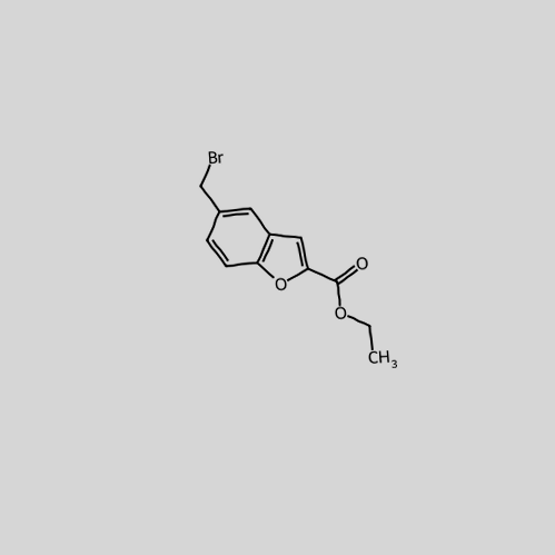 CCOC(=O)c1cc2cc(CBr)ccc2o1